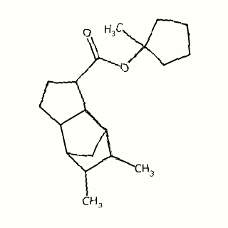 CC1C(C)C2CC1C1CCC(C(=O)OC3(C)CCCC3)C21